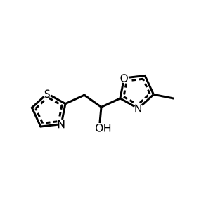 Cc1coc(C(O)Cc2nccs2)n1